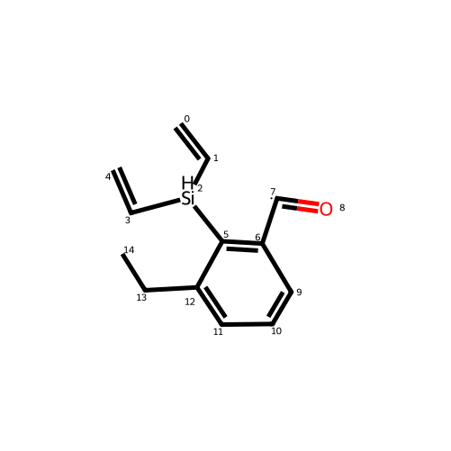 C=C[SiH](C=C)c1c([C]=O)cccc1CC